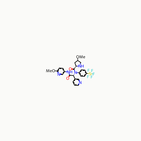 COc1ccc(NC(=O)[C@@H](c2cccnc2)N(C(=O)[C@H]2C[C@@H](OC)CN2)c2ccc(S(F)(F)(F)(F)F)cc2)cn1